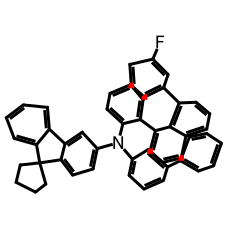 Fc1cccc(-c2cccc3cccc(-c4ccccc4N(c4cccc(-c5ccccc5)c4)c4ccc5c(c4)-c4ccccc4C54CCCC4)c23)c1